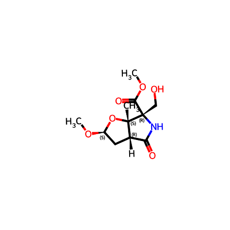 COC(=O)[C@]1(CO)NC(=O)[C@@H]2C[C@@H](OC)O[C@@]21C